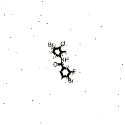 Cc1c(NC(=O)c2ccc(Br)c(F)c2)ccc(Br)c1Cl